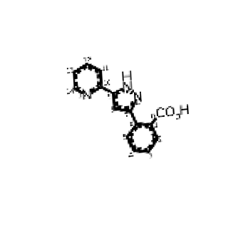 O=C(O)c1ccccc1-c1cc(-c2ccccn2)[nH]n1